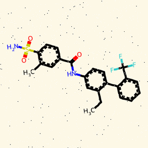 CCc1cc(NC(=O)c2ccc(S(N)(=O)=O)c(C)c2)ccc1-c1ccccc1C(F)(F)F